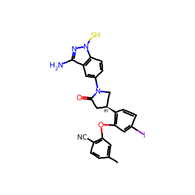 Cc1ccc(C#N)c(Oc2cc(I)ccc2[C@H]2CC(=O)N(c3ccc4c(c3)c(N)nn4S)C2)c1